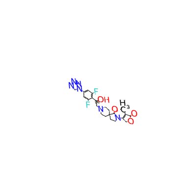 CC1=C(N2CCC3(CCN(C[C@H](O)c4c(F)cc(-n5cnnn5)cc4F)CC3)C2=O)COC1=O